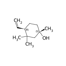 C=C[C@H]1CC[C@](C)(O)CC1(C)C